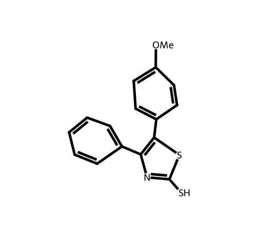 COc1ccc(-c2sc(S)nc2-c2ccccc2)cc1